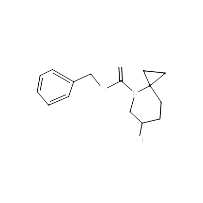 O=C(OCc1ccccc1)N1CC(O)CCC12CC2